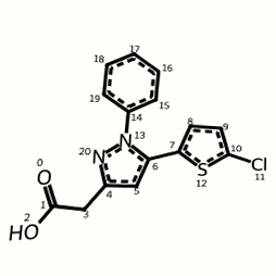 O=C(O)Cc1cc(-c2ccc(Cl)s2)n(-c2ccccc2)n1